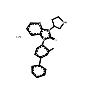 Cc1cc(-c2ccccc2)ccc1-n1c(=O)n(C2CCNC2)c2ncccc21.Cl